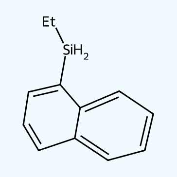 CC[SiH2]c1cccc2ccccc12